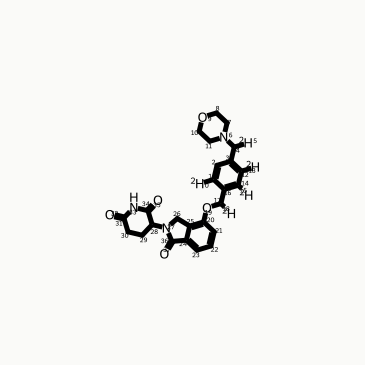 [2H]c1cc(C([2H])N2CCOCC2)c([2H])c([2H])c1C([2H])Oc1cccc2c1CN(C1CCC(=O)NC1=O)C2=O